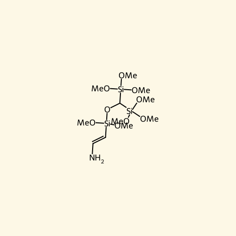 CO[Si](C=CN)(OC)OC([Si](OC)(OC)OC)[Si](OC)(OC)OC